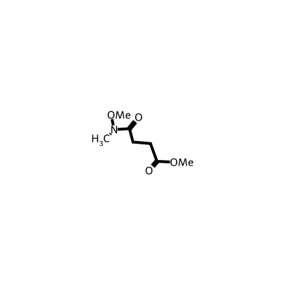 COC(=O)CCC(=O)N(C)OC